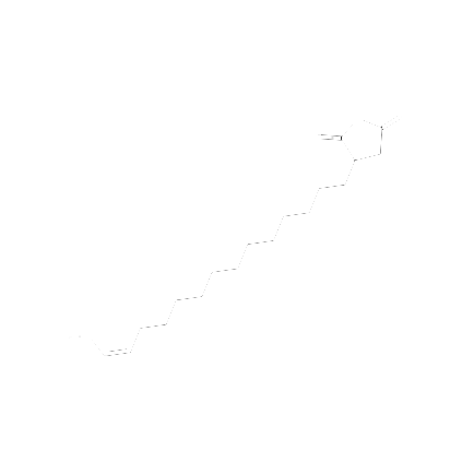 CCCCCCCC/C=C\CCCCCCCCCCCCC1CC(=O)OC1=O